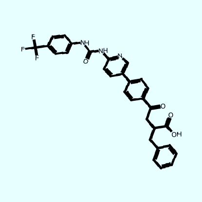 O=C(Nc1ccc(C(F)(F)F)cc1)Nc1ccc(-c2ccc(C(=O)CC(Cc3ccccc3)C(=O)O)cc2)cn1